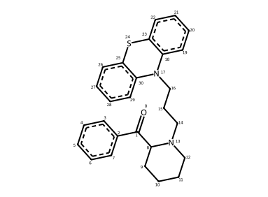 O=C(c1ccccc1)C1CCCCN1CCCN1c2ccccc2Sc2ccccc21